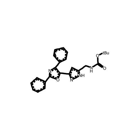 CC(C)(C)OC(=O)NCc1cc(-c2oc(-c3ccccc3)nc2-c2ccccc2)n[nH]1